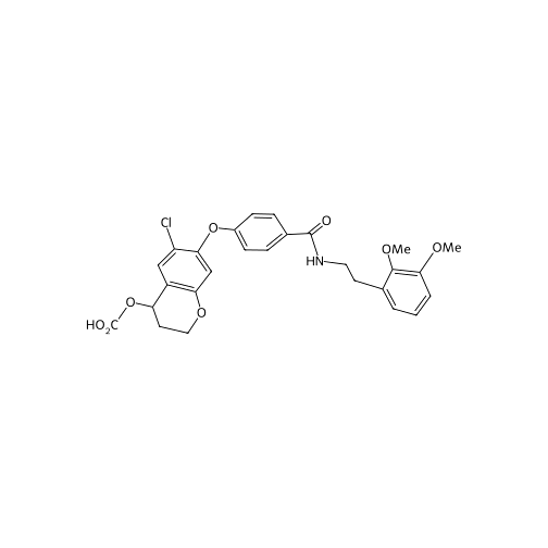 COc1cccc(CCNC(=O)c2ccc(Oc3cc4c(cc3Cl)C(OC(=O)O)CCO4)cc2)c1OC